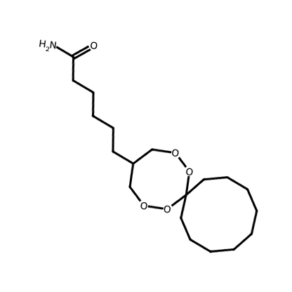 NC(=O)CCCCCC1COOC2(CCCCCCCCC2)OOC1